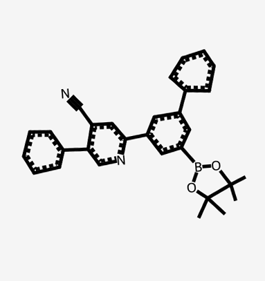 CC1(C)OB(c2cc(-c3ccccc3)cc(-c3cc(C#N)c(-c4ccccc4)cn3)c2)OC1(C)C